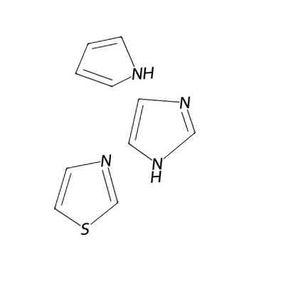 c1c[nH]cn1.c1cc[nH]c1.c1cscn1